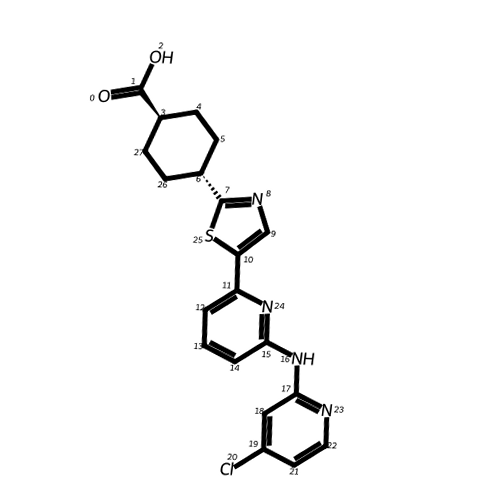 O=C(O)[C@H]1CC[C@H](c2ncc(-c3cccc(Nc4cc(Cl)ccn4)n3)s2)CC1